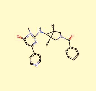 Cn1c(N[C@H]2[C@@H]3CN(C(=O)c4ccccc4)C[C@@H]32)nc(-c2ccncc2)cc1=O